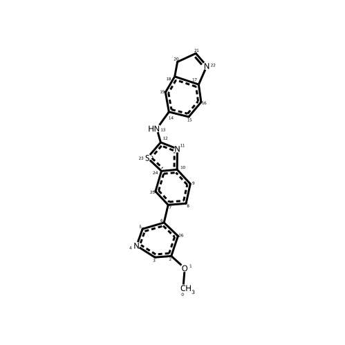 COc1cncc(-c2ccc3nc(Nc4ccc5c(c4)CC=N5)sc3c2)c1